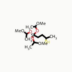 COC(C)O[Si](CCC(C)S)(OC(C)OC)OC(C)OC